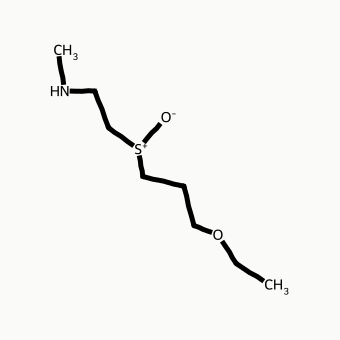 CCOCCC[S+]([O-])CCNC